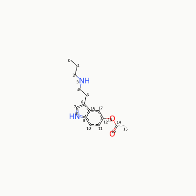 CCCNCCc1c[nH]c2ccc(OC(C)=O)cc12